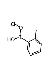 Cc1ccccc1B(O)OCl